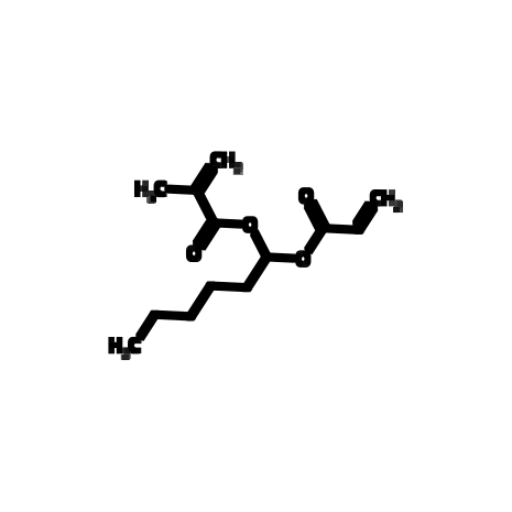 C=CC(=O)OC(CCCCC)OC(=O)C(=C)C